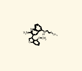 COc1cccc2c1C(c1cc3c(NCCSC)cccc3nc1N)CO2